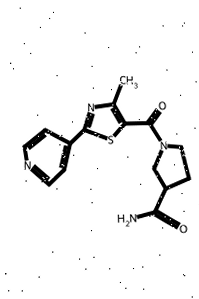 Cc1nc(-c2ccncc2)sc1C(=O)N1CCC(C(N)=O)C1